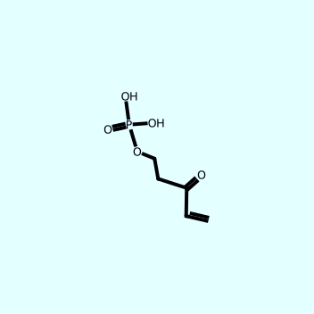 C=CC(=O)CCOP(=O)(O)O